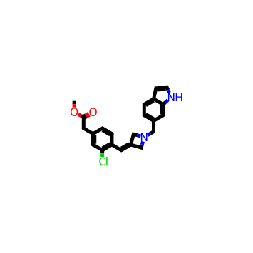 COC(=O)Cc1ccc(C=C2CN(Cc3ccc4cc[nH]c4c3)C2)c(Cl)c1